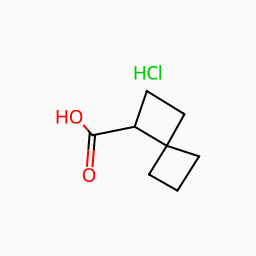 Cl.O=C(O)C1CCC12CCC2